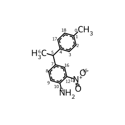 Cc1ccc(C(C)c2ccc(N)c([N+](=O)[O-])c2)cc1